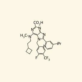 CC(C)c1ccnc(-c2nc3nc(C(=O)O)nc(N(C)CCC4CCC4)c3n2Cc2ccc(C(F)(F)F)c(F)c2)c1